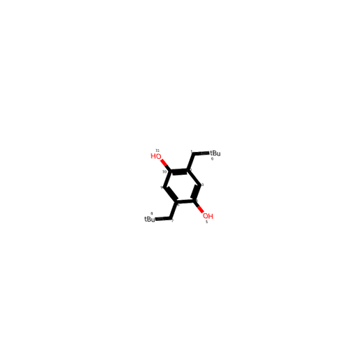 CC(C)(C)Cc1cc(O)c(CC(C)(C)C)cc1O